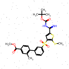 COC(=O)c1ccc(-c2cccc(S(=O)(=O)c3cc(C(=N)NC(=O)OC(C)(C)C)sc3SC)c2)c(C)c1